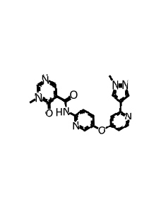 Cn1cc(-c2cc(Oc3ccc(NC(=O)c4cncn(C)c4=O)nc3)ccn2)cn1